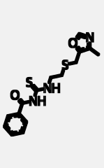 Cc1ncoc1CSCCNC(=S)NC(=O)c1ccccc1